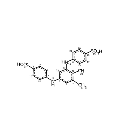 Cc1cc(Nc2ccc(S(=O)(=O)O)cc2)cc(Nc2ccc(S(=O)(=O)O)cc2)c1C#N